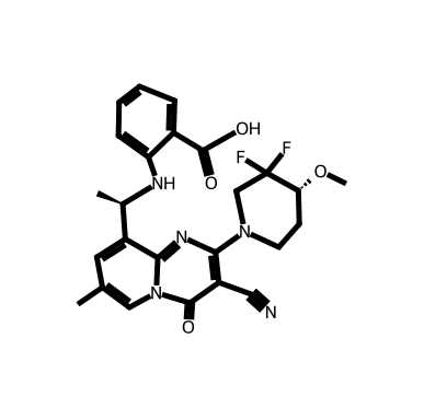 CO[C@@H]1CCN(c2nc3c([C@@H](C)Nc4ccccc4C(=O)O)cc(C)cn3c(=O)c2C#N)CC1(F)F